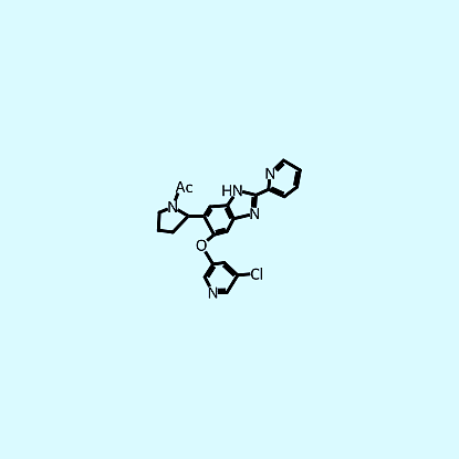 CC(=O)N1CCCC1c1cc2[nH]c(-c3ccccn3)nc2cc1Oc1cncc(Cl)c1